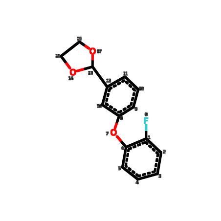 Fc1ccccc1Oc1cccc(C2OCCO2)c1